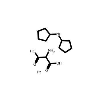 C1CCC(NC2CCCC2)C1.NC(C(=O)O)C(=O)O.[Pt]